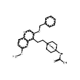 COc1ccc2ncc(OCc3ccccc3)c(CCC34CCC(NC(=O)O)(CC3)CO4)c2n1